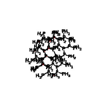 [3H]I(P(P(P(P)P(P)P)P(P(P)P)P(P)P)P(P(P(P)P)P(P)P)P(P(P)P)P(P)P)P(P(P(P(P)P)P(P)P)P(P(P)P)P(P)P)P(P(P(P)P)P(P)P)P(P(P)P)P(P)P